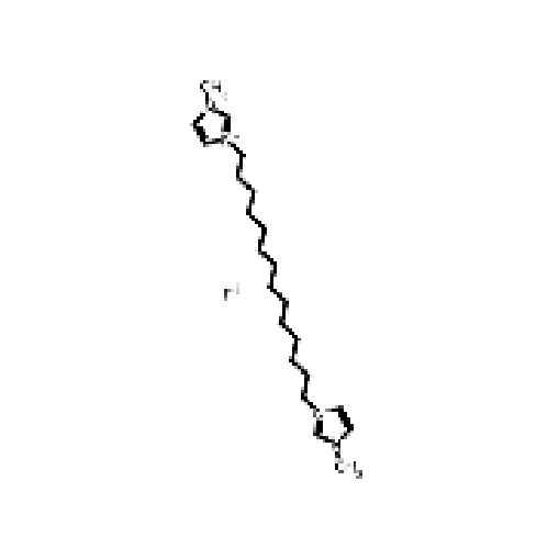 Cn1cc[n+](CCCCCCCCCCCCCC[n+]2ccn(C)c2)c1.[I-].[I-]